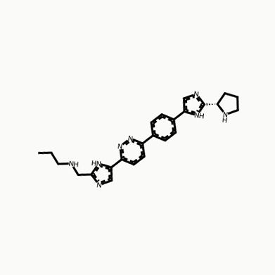 CCCNCc1ncc(-c2ccc(-c3ccc(-c4cnc([C@@H]5CCCN5)[nH]4)cc3)nn2)[nH]1